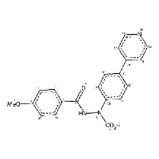 COc1ccc(C(=O)NN(C(=O)O)c2ccc(-c3ccncc3)cc2)cc1